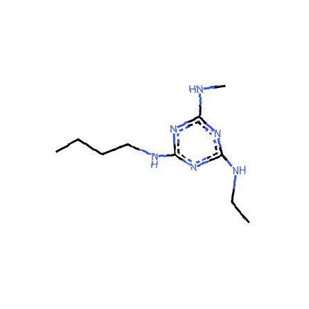 CCCCNc1nc(NC)nc(NCC)n1